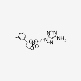 Cc1cccc(C2CCOP(=O)(OCCn3cnc4c(N)ncnc43)O2)c1